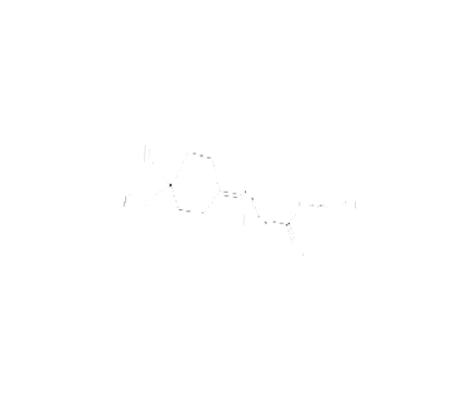 CC(C)(C)OC(=O)NN=C1CCC(O)(C(F)(F)F)CC1